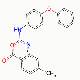 Cc1ccc2c(=O)oc(Nc3ccc(Oc4ccccc4)cc3)nc2c1